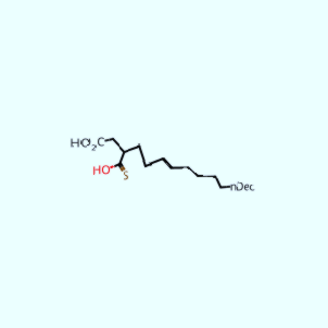 CCCCCCCCCCCCCCCCCCC(CC(=O)O)C(O)=S